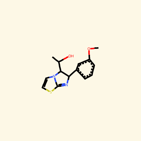 COc1cccc(C2N=C3SC=CN3C2C(C)O)c1